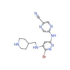 N#Cc1cnc(Nc2cc(NCC3CCNCC3)c(Br)nn2)cn1